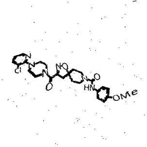 COc1ccc(NC(=O)N2CCC3(CC2)CC(C(=O)N2CCN(c4ncccc4Cl)CC2)=NO3)cc1